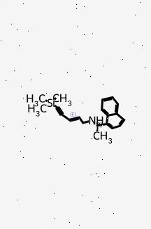 C[C@@H](NC/C=C/C#C[Si](C)(C)C)c1cccc2ccccc12